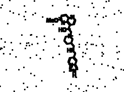 COc1ccc2nccc(C(O)CN3CCCC(CNCC4=CC5=CNSN5C=C4)C3)c2n1